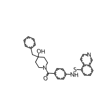 O=C(c1ccc(NSc2cccc3cnccc23)cc1)N1CCC(O)(Cc2ccccc2)CC1